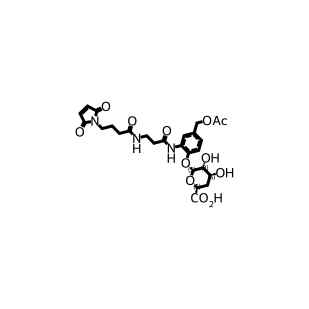 CC(=O)OCc1ccc(O[C@@H]2O[C@H](C(=O)O)C[C@H](O)[C@H]2O)c(NC(=O)CCNC(=O)CCCN2C(=O)C=CC2=O)c1